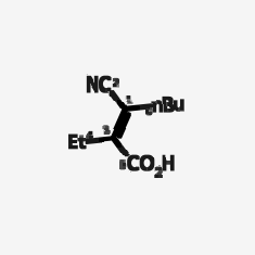 CCCC/C(C#N)=C(/CC)C(=O)O